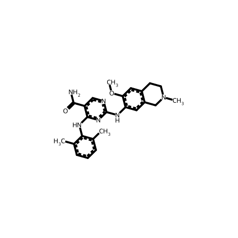 COc1cc2c(cc1Nc1ncc(C(N)=O)c(Nc3c(C)cccc3C)n1)CN(C)CC2